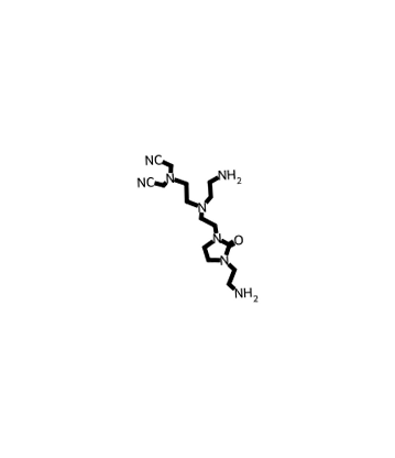 N#CCN(CC#N)CCN(CCN)CCN1CCN(CCN)C1=O